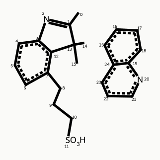 CC1=Nc2cccc(CCCS(=O)(=O)O)c2C1(C)C.c1ccc2ncccc2c1